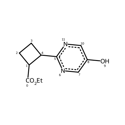 CCOC(=O)C1CCC1c1ncc(O)cn1